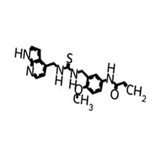 C=CC(=O)Nc1ccc(OC)c(CNC(=S)NCc2ccnc3[nH]ccc23)c1